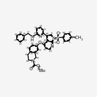 Cc1ccc(S(=O)(=O)n2cc(-c3cccc(NCc4ccccc4)n3)c3c(Oc4ccc5c(c4)CN(C(=O)OC(C)(C)C)CC5)ccnc32)cc1